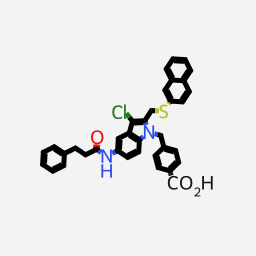 O=C(CCc1ccccc1)Nc1ccc2c(c1)c(Cl)c(CSc1ccc3ccccc3c1)n2Cc1ccc(C(=O)O)cc1